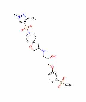 CNS(=O)(=O)c1cccc(OCC(O)CNC2COC3(CCN(S(=O)(=O)c4cn(C)nc4C(F)(F)F)CC3)C2)c1